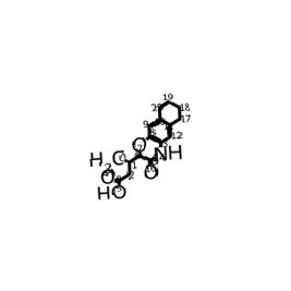 C[C@H](CC(=O)O)C1Oc2cc3c(cc2NC1=O)CCCC3